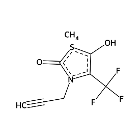 C.C#CCn1c(C(F)(F)F)c(O)sc1=O